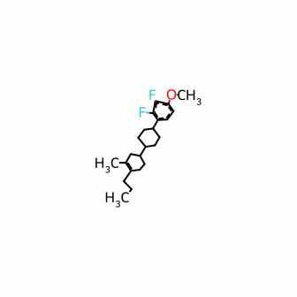 CCCC1=C(C)CC(C2CCC(c3ccc(OC)c(F)c3F)CC2)CC1